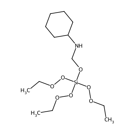 CCOO[Si](OCNC1CCCCC1)(OOCC)OOCC